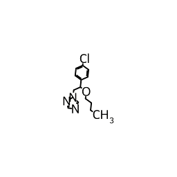 CCCCOC(Cn1cncn1)c1ccc(Cl)cc1